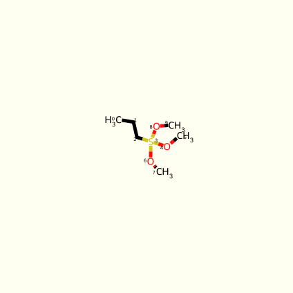 CCCS(OC)(OC)OC